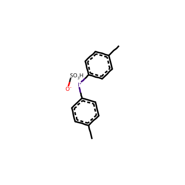 Cc1ccc([I+]c2ccc(C)cc2)cc1.O=S(=O)([O-])O